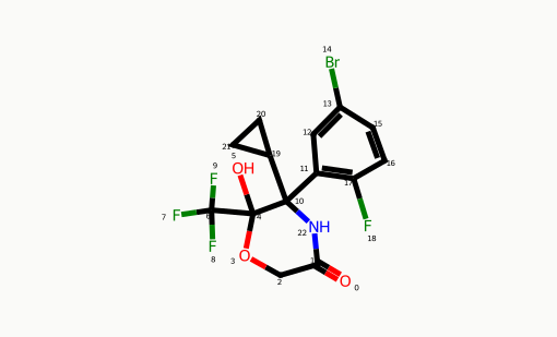 O=C1COC(O)(C(F)(F)F)C(c2cc(Br)ccc2F)(C2CC2)N1